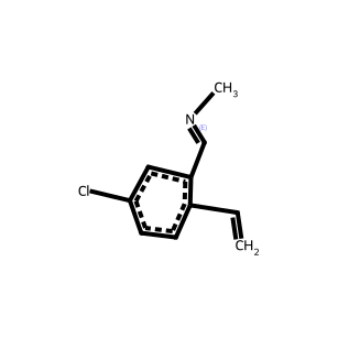 C=Cc1ccc(Cl)cc1/C=N/C